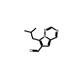 CC(C)Cc1c(C=O)cc2cncnn12